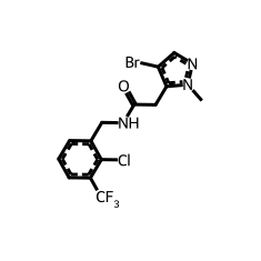 Cn1ncc(Br)c1CC(=O)NCc1cccc(C(F)(F)F)c1Cl